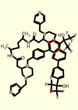 CC(CCC(C)NC(=O)CC1CN(Cc2ccncc2)CCN1Cc1ccc(-c2ccc(C(O)(C(F)(F)F)C(F)(F)F)cc2)cc1)NC(=O)CC1CN(Cc2ccc(-c3ccc(C(O)(C(F)(F)F)C(F)(F)F)cc3)cc2)CCN1Cc1ccncc1